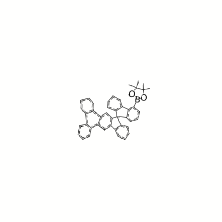 CC1(C)OB(c2cccc3c2-c2ccccc2C32c3ccccc3-c3cc4c5ccccc5c5ccccc5c4cc32)OC1(C)C